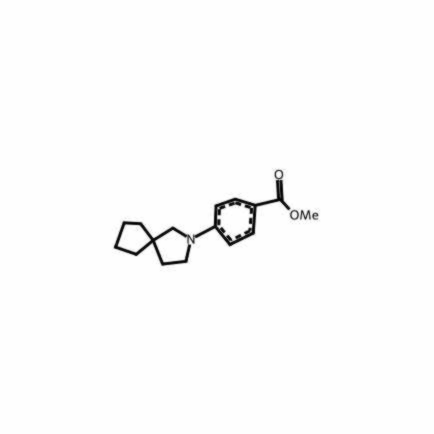 COC(=O)c1ccc(N2CCC3(CCCC3)C2)cc1